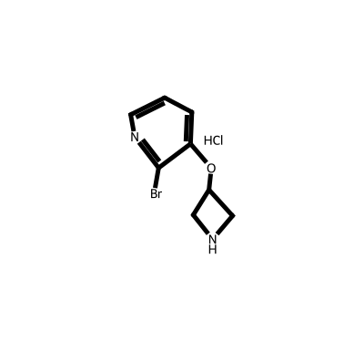 Brc1ncccc1OC1CNC1.Cl